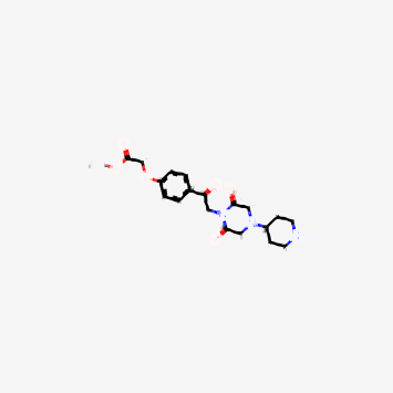 CCCCOC(=O)COc1ccc(C(=O)CN2C(=O)CN(C3CCNCC3)CC2=O)cc1